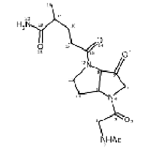 CC(=O)NCC(=O)N1CC(=O)C2C1CCN2C(=O)[CH]CC(C)C(N)=O